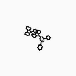 c1ccc(-c2cc(-n3c4ccccc4c4c(C5(c6ccccc6)c6ccccc6-c6ccccc65)cccc43)nc(-c3ccccc3)n2)cc1